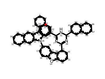 c1ccc2cc(C3=NC(c4cccc5oc6ccc(-n7c8ccccc8c8cc9ccccc9cc87)cc6c45)=NC(c4ccc5ccccc5c4)N3)ccc2c1